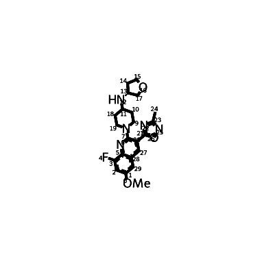 COc1cc(F)c2nc(N3CCC(N[C@@H]4CCOC4)CC3)c(-c3nc(C)no3)cc2c1